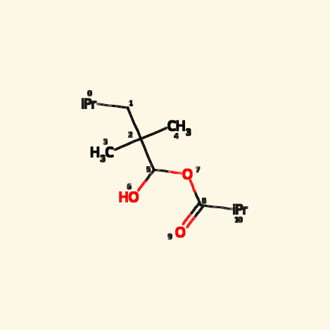 CC(C)CC(C)(C)C(O)OC(=O)C(C)C